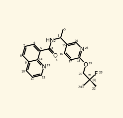 CC(NC(=O)c1cccc2cccnc12)c1ccc(OC[C@](C)(F)I)nc1